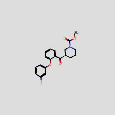 CC(C)(C)OC(=O)N1CCC[C@@H](C(=O)c2ccccc2Oc2cccc(F)c2)C1